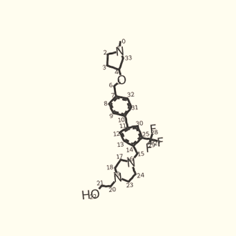 CN1CCC(OCc2ccc(-c3ccc(CN4CCN(CCO)CC4)c(C(F)(F)F)c3)cc2)C1